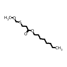 CCCCCCCCOC(=O)CCSCOC